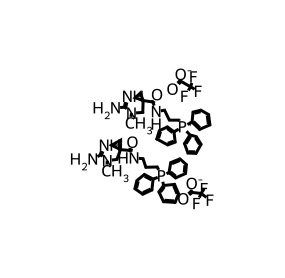 CN(CC1(C(=O)NCCC[P+](c2ccccc2)(c2ccccc2)c2ccccc2)CC1)C(=N)N.CN(CC1(C(=O)NCCC[P+](c2ccccc2)(c2ccccc2)c2ccccc2)CC1)C(=N)N.O=C([O-])C(F)(F)F.O=C([O-])C(F)(F)F